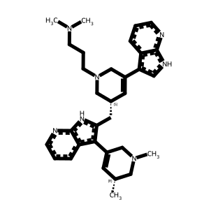 C[C@@H]1C=C(c2c(C[C@H]3C=C(c4c[nH]c5ncccc45)CN(CCCN(C)C)C3)[nH]c3ncccc23)CN(C)C1